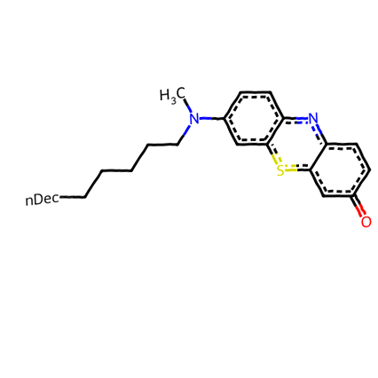 CCCCCCCCCCCCCCCN(C)c1ccc2nc3ccc(=O)cc-3sc2c1